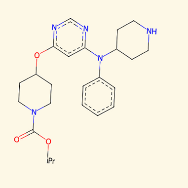 CC(C)OC(=O)N1CCC(Oc2cc(N(c3ccccc3)C3CCNCC3)ncn2)CC1